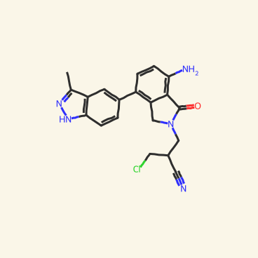 Cc1n[nH]c2ccc(-c3ccc(N)c4c3CN(CC(C#N)CCl)C4=O)cc12